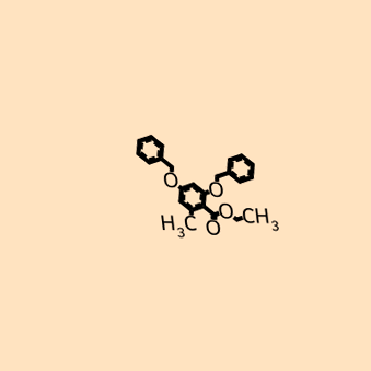 CCOC(=O)c1c(C)cc(OCc2ccccc2)cc1OCc1ccccc1